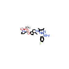 Cc1nc(Nc2ccc(F)cc2)nc(N2CCc3cc(OC(=O)C4CCCN4C(=O)OC(C)(C)C)ccc3C2C)c1C